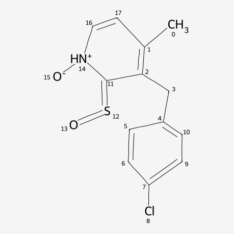 CC1=C(Cc2ccc(Cl)cc2)C(=S=O)[NH+]([O-])C=C1